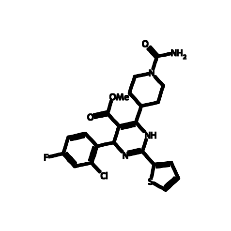 COC(=O)C1=C(C2CCN(C(N)=O)CC2)NC(c2cccs2)=NC1c1ccc(F)cc1Cl